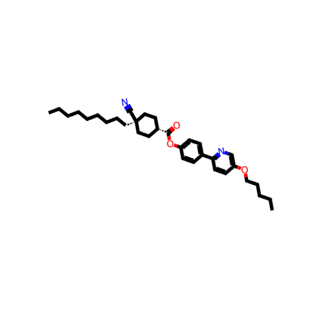 CCCCCCCCC[C@]1(C#N)CC[C@H](C(=O)Oc2ccc(-c3ccc(OCCCCC)cn3)cc2)CC1